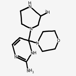 [2H]C1CN(C2(N3CCOCC3)C=CN=C(N)N2)CCN1